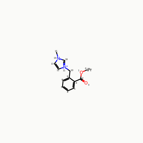 CC(C)OC(=O)c1ccccc1C[n+]1ccn(C)c1